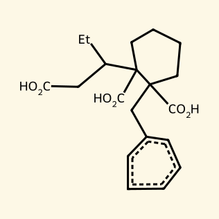 CCC(CC(=O)O)C1(C(=O)O)CCCCC1(Cc1ccccc1)C(=O)O